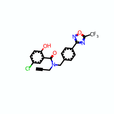 C#CCN(Cc1ccc(-c2noc(C(F)(F)F)n2)cc1)C(=O)c1cc(Cl)ccc1O